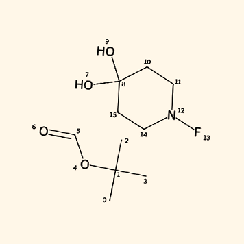 CC(C)(C)OC=O.OC1(O)CCN(F)CC1